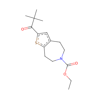 CCOC(=O)N1CCc2cc(C(=O)C(C)(C)C)sc2CC1